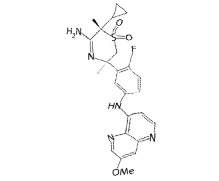 COc1cnc2c(Nc3ccc(F)c([C@]4(C)CS(=O)(=O)[C@@](C)(C5CC5)C(N)=N4)c3)ccnc2c1